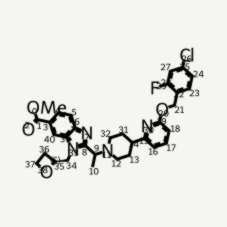 COC(=O)c1ccc2nc(C(C)N3CCC(c4cccc(OCc5ccc(Cl)cc5F)n4)CC3)n(C[C@@H]3CCO3)c2c1